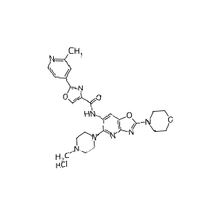 Cc1cc(-c2nc(C(=O)Nc3cc4oc(N5CCOCC5)nc4nc3N3CCN(C)CC3)co2)ccn1.Cl